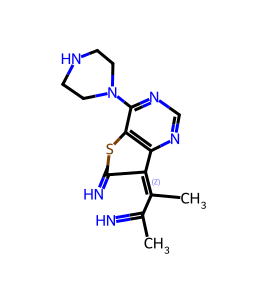 CC(=N)/C(C)=C1\C(=N)Sc2c1ncnc2N1CCNCC1